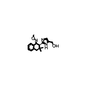 CON=C1c2ccccc2CC(C)(C)[C@@H]1c1ncc(CO)[nH]1